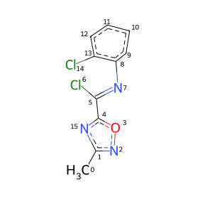 Cc1noc(C(Cl)=Nc2ccccc2Cl)n1